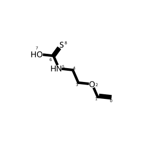 C=COCCNC(O)=S